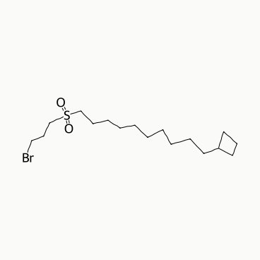 O=S(=O)(CCCBr)CCCCCCCCCCC1CCC1